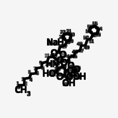 CCCCCCCCCCCCC(OC(=O)CCc1ccccc1)C(=O)N[C@H]1C(O)O[C@H](CO)[C@@H](OS(=O)(=O)O)[C@@H]1OC(=O)CCCCCCCCc1ccccc1.[NaH]